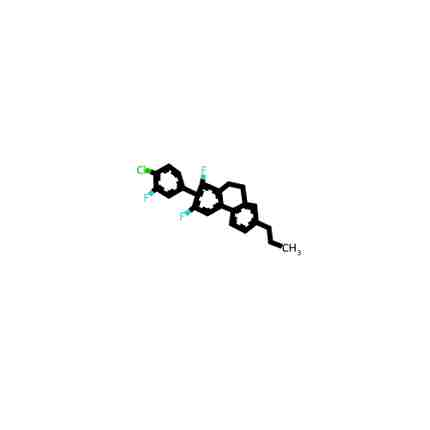 CCCc1ccc2c(c1)CCc1c-2cc(F)c(-c2ccc(Cl)c(F)c2)c1F